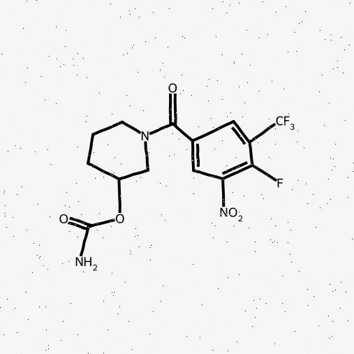 NC(=O)OC1CCCN(C(=O)c2cc([N+](=O)[O-])c(F)c(C(F)(F)F)c2)C1